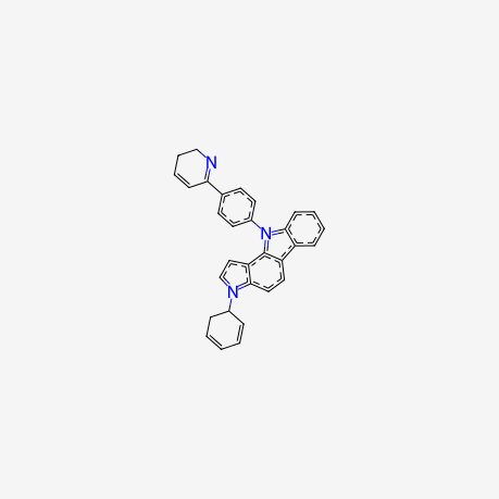 C1=CCC(n2ccc3c2ccc2c4ccccc4n(-c4ccc(C5=NCCC=C5)cc4)c23)C=C1